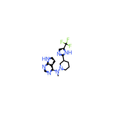 CN(c1ncnc2[nH]ccc12)N1CCCC(c2ncc(C(F)(F)F)[nH]2)C1